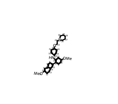 COc1ccc(-c2ccc3cc(OC)ccc3c2)c(Nc2ccc(OCCN3CCCCC3)cc2)c1